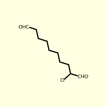 O=[C]CCCCCCCC(Cl)[C]=O